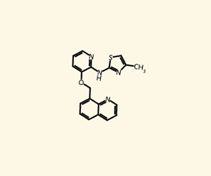 Cc1csc(Nc2ncccc2OCc2cccc3cccnc23)n1